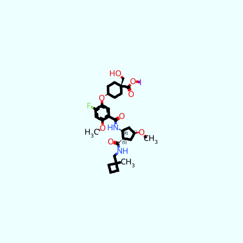 COc1cc(F)c(O[C@H]2CC[C@@](CO)(C(=O)OI)CC2)cc1C(=O)N[C@@H]1C[C@@H](OC)C[C@@H]1C(=O)NCC1(C)CCC1